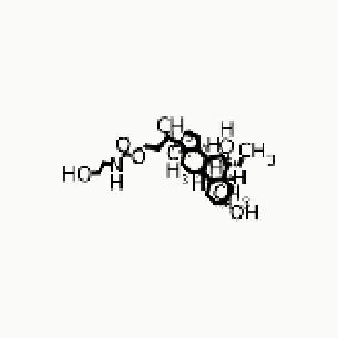 CC[C@H]1[C@@H](O)[C@@H]2[C@H](CC[C@]3(C)[C@@H]([C@H](C)CCOC(=O)NCCO)CC[C@@H]23)[C@@]2(C)CC[C@@H](O)C[C@@H]12